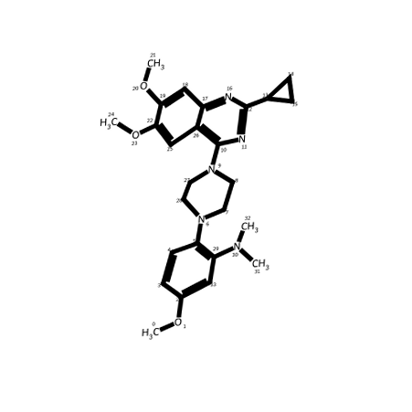 COc1ccc(N2CCN(c3nc(C4CC4)nc4cc(OC)c(OC)cc34)CC2)c(N(C)C)c1